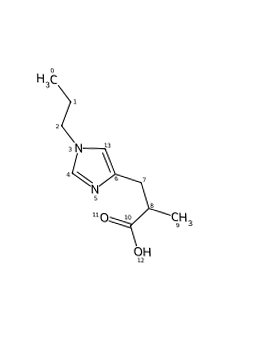 CCCn1cnc(CC(C)C(=O)O)c1